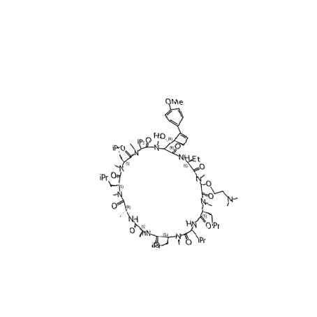 CC[C@@H]1NC(=O)C([C@H](O)[C@@H]2CC=C2c2ccc(OC)cc2)N(C)C(=O)C(C(C)C)N(C)C(=O)[C@H](CC(C)C)N(C)C(=O)[C@H](CC(C)C)N(C)C(=O)[C@@H](C)NC(=O)[C@H](C)NC(=O)[C@H](CC(C)C)N(C)C(=O)C(C(C)C)NC(=O)[C@H](CC(C)C)N(C)C(=O)C(OCCN(C)C)N(C)C1=O